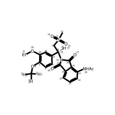 [2H]C([2H])([2H])Oc1ccc([C@@]([2H])(CS(C)(=O)=O)N2C(=O)c3cccc(NC(C)=O)c3C2=O)cc1OCC